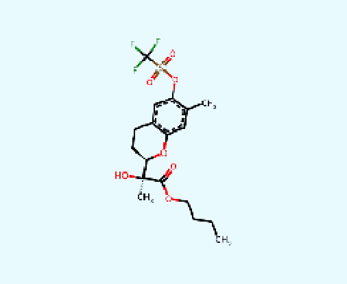 CCCCOC(=O)[C@@](C)(O)[C@H]1CCc2cc(OS(=O)(=O)C(F)(F)F)c(C)cc2O1